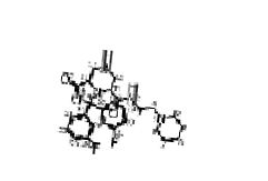 O=C(NCCN1CCCCC1)C1CNCC2C(=O)OC(c3cccc(F)c3)(c3cccc(F)c3)N12